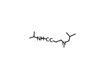 CC(C)CN(C)CCCCCNC(C)C